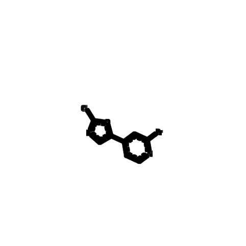 Clc1ncc(-c2ccnc(Br)c2)o1